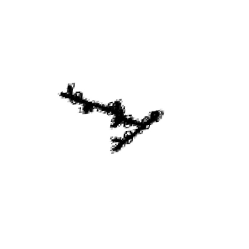 CCCCCC(CCCCC)CCOC(=O)CCCCCCCCC(CCCCCCCCC(=O)OCCC(CCCCC)CCCC(C)C(CCC)CC(CCCCC)CCOC(=O)CCCCCCCC(CCCCCCCC(=O)OCCC(CCCCC)CCCCC)OC(=O)CCCN1CCCCC1)CN1CCCCC1